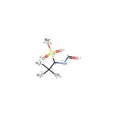 CC(C)(C)C(NC=O)S(=O)(=O)[O-].[Na+]